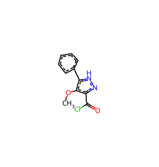 COc1c(C(=O)Cl)n[nH]c1-c1ccccc1